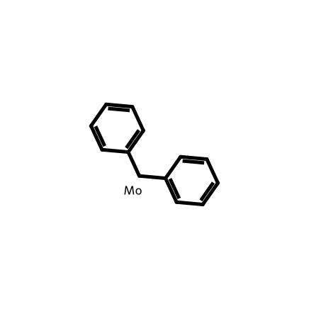 [Mo].c1ccc(Cc2ccccc2)cc1